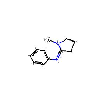 CN1CCC/C1=N/c1ccccc1